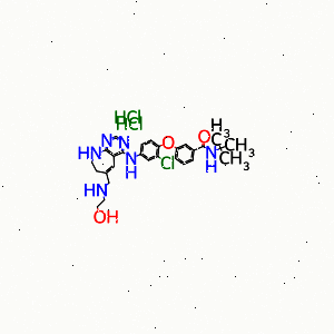 CC(C)(C)NC(=O)c1cccc(Oc2ccc(Nc3ncnc4c3C=C(CNCCO)CCN4)cc2Cl)c1.Cl.Cl